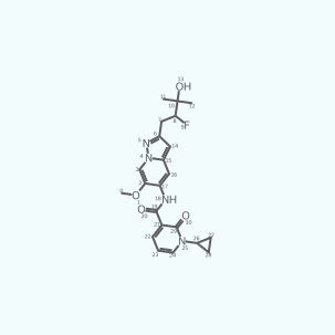 COc1cn2nc(CC(F)C(C)(C)O)cc2cc1NC(=O)c1cccn(C2CC2)c1=O